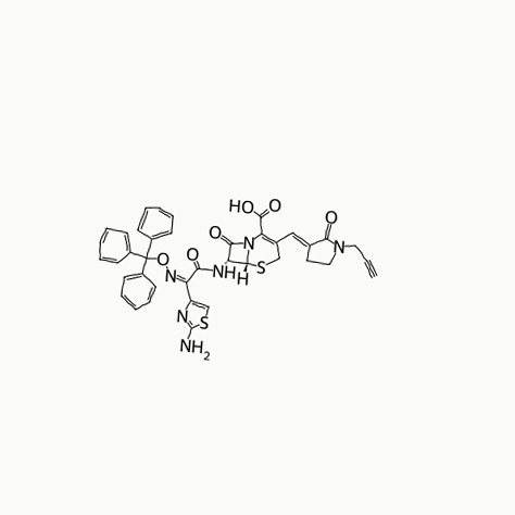 C#CCN1CC/C(=C\C2=C(C(=O)O)N3C(=O)[C@@H](NC(=O)/C(=N\OC(c4ccccc4)(c4ccccc4)c4ccccc4)c4csc(N)n4)[C@H]3SC2)C1=O